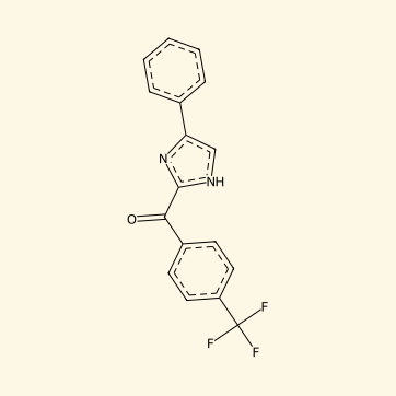 O=C(c1ccc(C(F)(F)F)cc1)c1nc(-c2ccccc2)c[nH]1